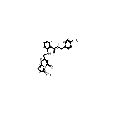 Cc1ccc(CNC(=O)c2ccccc2NCc2cc(=O)n3c(C)csc3n2)cc1